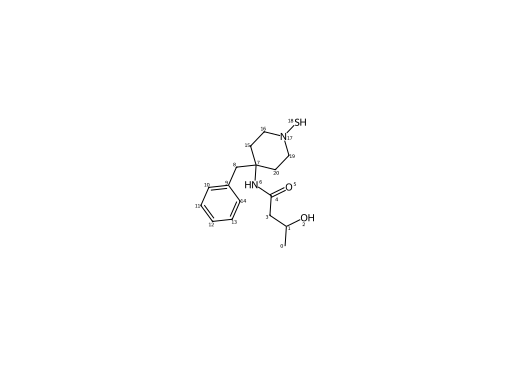 CC(O)CC(=O)NC1(Cc2ccccc2)CCN(S)CC1